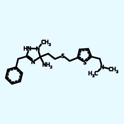 CN(C)Cc1ccc(CSCCC2(N)N=C(Cc3ccccc3)NN2C)s1